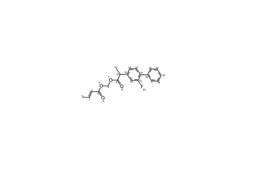 CC=CC(=O)OCOC(=O)C(C)c1ccc(-c2ccccc2)c(F)c1